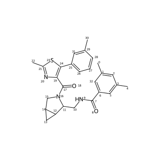 Cc1cc(C)cc(C(=O)NCC2C3CC3CN2C(=O)c2nc(C)sc2-c2cccc(C)c2)c1